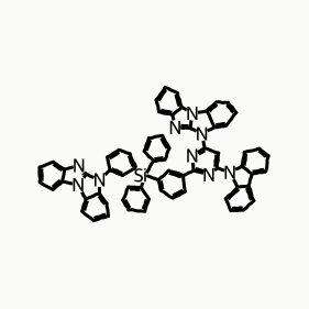 c1ccc([Si](c2ccccc2)(c2cccc(-c3nc(-n4c5ccccc5c5ccccc54)cc(-n4c5ccccc5n5c6ccccc6nc45)n3)c2)c2cccc(-n3c4ccccc4n4c5ccccc5nc34)c2)cc1